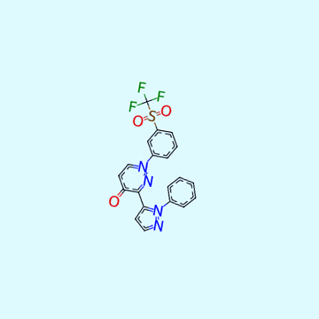 O=c1ccn(-c2cccc(S(=O)(=O)C(F)(F)F)c2)nc1-c1ccnn1-c1ccccc1